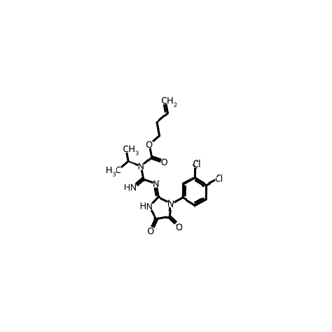 C=CCCOC(=O)N(C(=N)N=C1NC(=O)C(=O)N1c1ccc(Cl)c(Cl)c1)C(C)C